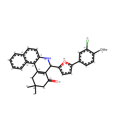 COc1ccc(-c2ccc(C3Nc4ccc5ccccc5c4C4=C3C(=O)CC(C)(C)C4)o2)cc1Cl